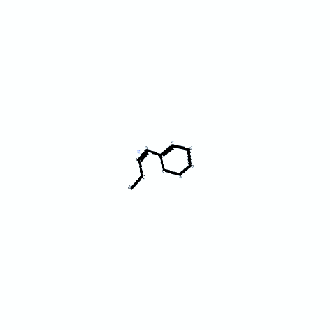 CC/C=[C]\C1=CCCCC1